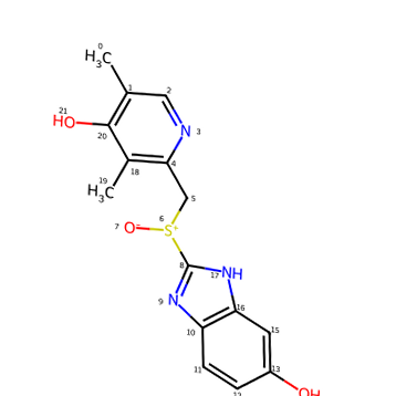 Cc1cnc(C[S+]([O-])c2nc3ccc(O)cc3[nH]2)c(C)c1O